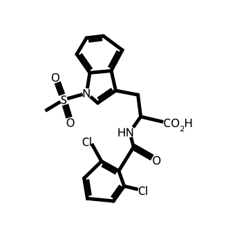 CS(=O)(=O)n1cc(CC(NC(=O)c2c(Cl)cccc2Cl)C(=O)O)c2ccccc21